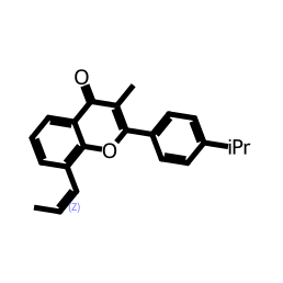 C/C=C\c1cccc2c(=O)c(C)c(-c3ccc(C(C)C)cc3)oc12